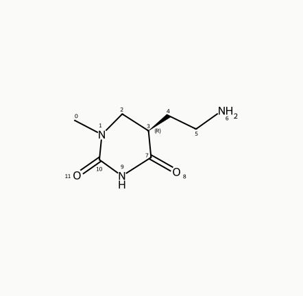 CN1C[C@@H](CCN)C(=O)NC1=O